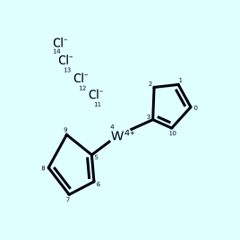 C1=CC[C]([W+4][C]2=CC=CC2)=C1.[Cl-].[Cl-].[Cl-].[Cl-]